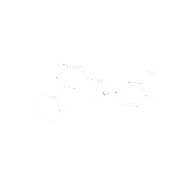 Cc1ccc(C(=O)Nc2cccc(N3CCOCC3)c2)cc1N